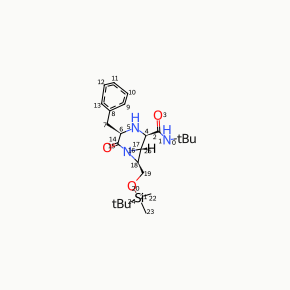 CC(C)(C)NC(=O)[C@@H]1N[C@H](Cc2ccccc2)C(=O)N2[C@H]1[C@H]2CO[Si](C)(C)C(C)(C)C